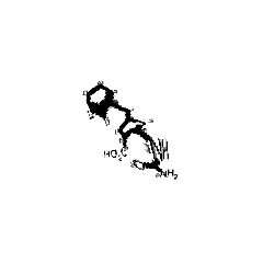 NC(=O)Nc1sc(Cc2ccccc2)cc1C(=O)O